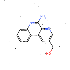 Nc1nc2ccccc2c2cc(CO)cnc12